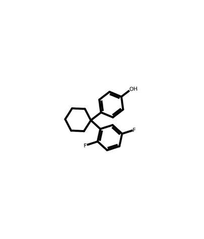 Oc1ccc(C2(c3cc(F)ccc3F)CCCCC2)cc1